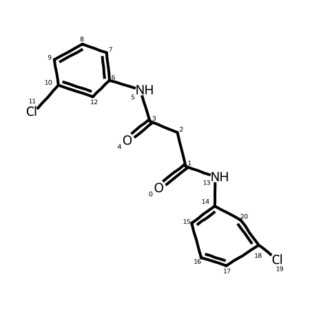 O=C(CC(=O)Nc1cccc(Cl)c1)Nc1cccc(Cl)c1